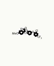 CCC(=O)C(C#N)(Oc1cccc(Oc2ccc(C(F)(F)F)cc2Cl)c1)c1ccc(OC)cc1